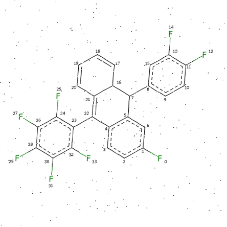 Fc1ccc2c(c1)C(c1ccc(F)c(F)c1)C1C=CC=CC1=C2c1c(F)c(F)c(F)c(F)c1F